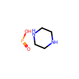 C1CNCCN1.O=PO